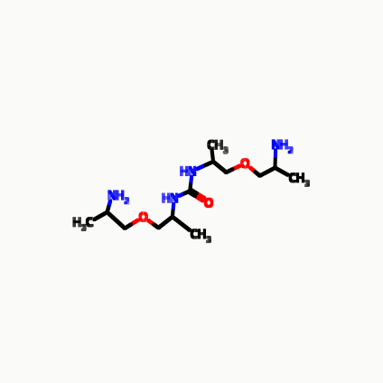 CC(N)COCC(C)NC(=O)NC(C)COCC(C)N